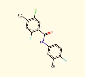 N#Cc1cc(NC(=O)c2cc(Cl)c(C(F)(F)F)cc2F)ccc1F